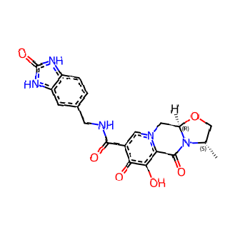 C[C@H]1CO[C@@H]2Cn3cc(C(=O)NCc4ccc5[nH]c(=O)[nH]c5c4)c(=O)c(O)c3C(=O)N12